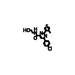 Cc1cscc1-c1nc(C(=O)NCCO)cc(-c2ccc(Cl)cc2)n1